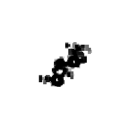 Cc1cccc(C)c1/N=c1/scc(-c2ccc(Cl)c(S(=O)(=O)N(C)C)c2)n1C